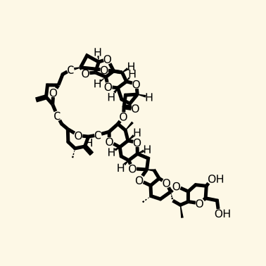 C=C1CC2CC[C@@]34C[C@H]5OC6[C@@H](O[C@H]7CC[C@H](CC(=O)OC8C(C[C@H]9OC(CCC1O2)C[C@@H](C)C9=C)O[C@H]1C[C@H]2O[C@]9(CC%10O[C@]%11(C[C@H](C)C%12OC(CO)C(O)CC%12O%11)C[C@H](C)C%10O9)C[C@H]2O[C@H]1[C@@H]8C)O[C@@H]7[C@@H]6O3)C5O4